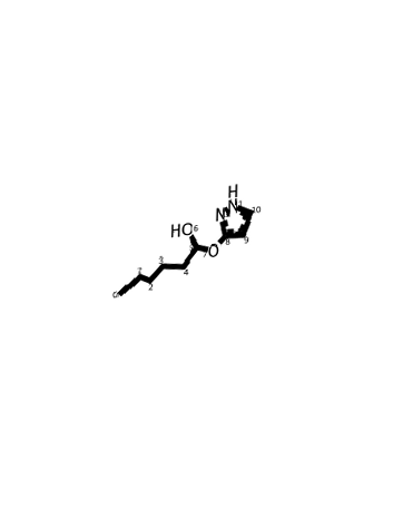 CCCCCC(O)Oc1cc[nH]n1